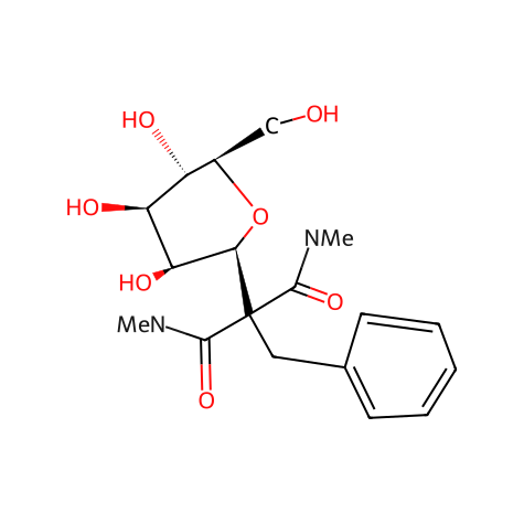 CNC(=O)C(Cc1ccccc1)(C(=O)NC)[C@@H]1O[C@H](CO)[C@@H](O)[C@H](O)[C@@H]1O